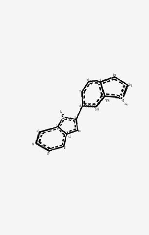 c1ccc2sc(-c3ccc4ccsc4c3)cc2c1